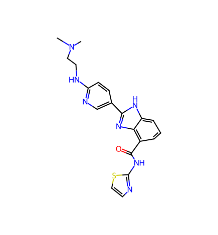 CN(C)CCNc1ccc(-c2nc3c(C(=O)Nc4nccs4)cccc3[nH]2)cn1